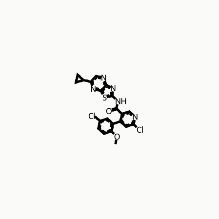 COc1ccc(Cl)cc1-c1cc(Cl)ncc1C(=O)Nc1nc2ncc(C3CC3)nc2s1